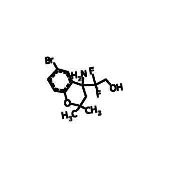 CC1(C)CC(N)(C(F)(F)CO)c2cc(Br)ccc2O1